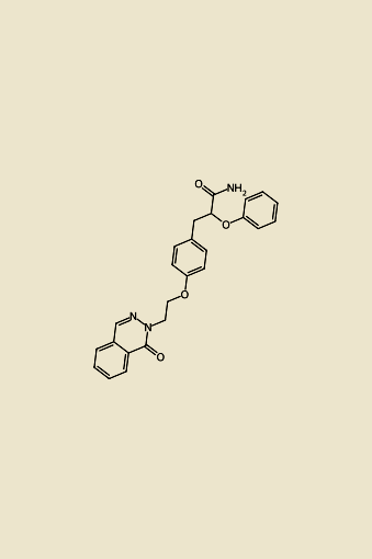 NC(=O)C(Cc1ccc(OCCn2ncc3ccccc3c2=O)cc1)Oc1ccccc1